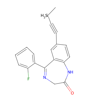 C[SiH2]C#Cc1ccc2c(c1)C(c1ccccc1F)=NCC(=O)N2